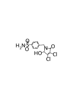 NS(=O)(=O)c1ccc(CN2C(=O)C(Cl)=C(Cl)C2O)cc1